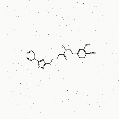 COc1ccc(CCN(C)C(=O)CCCOc2noc(-c3ccccc3)n2)cc1OC